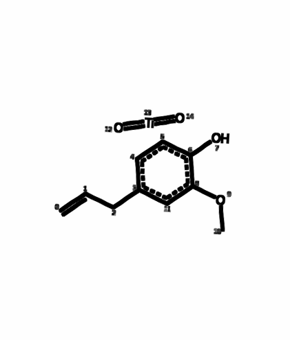 C=CCc1ccc(O)c(OC)c1.[O]=[Ti]=[O]